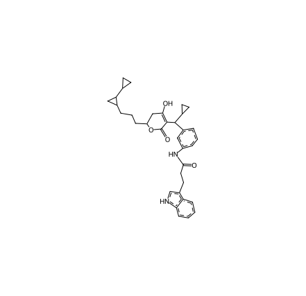 O=C(CCc1c[nH]c2ccccc12)Nc1cccc(C(C2=C(O)CC(CCCC3CC3C3CC3)OC2=O)C2CC2)c1